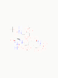 COC(=O)[C@@H]1[C@@H](O)CC[C@@H]([C@H](OC2OC(CNC(=O)OC(C)(C)C)C3OC(C)(C)OC23)C2OC(n3ccc(=O)[nH]c3=O)C3OC(C)(C)OC32)C(=O)N1C